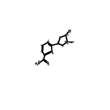 CC[C@@H]1CN(c2nccc(C(N)=O)n2)C[C@@H]1C